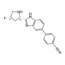 N#Cc1ccc(-c2ccc3[nH]c([C@@H]4C[C@H](F)CN4)nc3c2)cc1